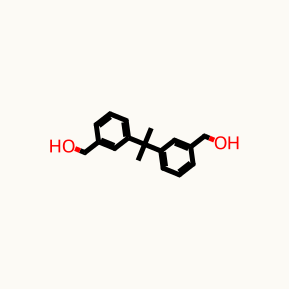 CC(C)(c1cccc(CO)c1)c1cccc(CO)c1